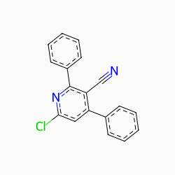 N#Cc1c(-c2ccccc2)cc(Cl)nc1-c1ccccc1